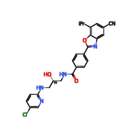 CC(C)c1cc(C#N)cc2nc(-c3ccc(C(=O)NC[C@@H](O)CNc4ccc(Cl)cn4)cc3)oc12